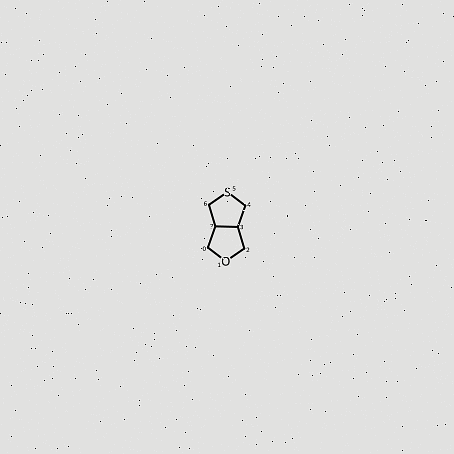 C1OCC2CSCC12